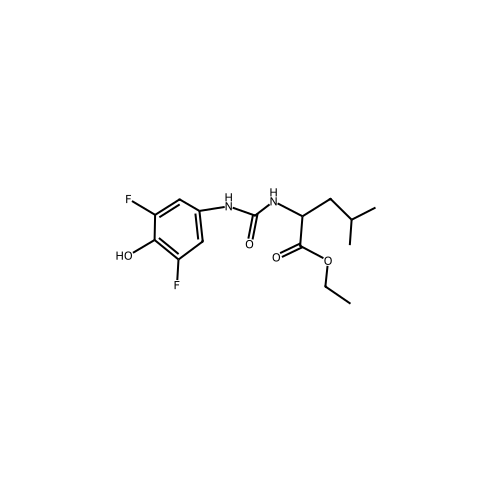 CCOC(=O)C(CC(C)C)NC(=O)Nc1cc(F)c(O)c(F)c1